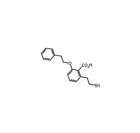 O=C(O)c1c(CCS)cccc1OCCc1ccccc1